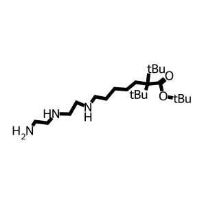 CC(C)(C)OC(=O)C(CCCCCNCCNCCN)(C(C)(C)C)C(C)(C)C